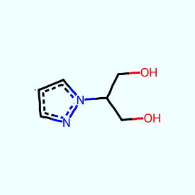 OCC(CO)n1c[c]cn1